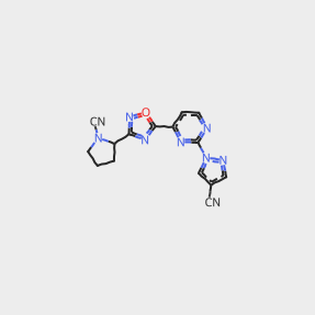 N#Cc1cnn(-c2nccc(-c3nc(C4CCCN4C#N)no3)n2)c1